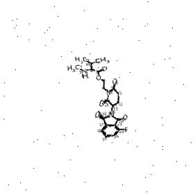 CN[C@H](C(=O)OCCN1C(=O)CCC(N2C(=O)c3cccc(F)c3C2=O)C1=O)C(C)C